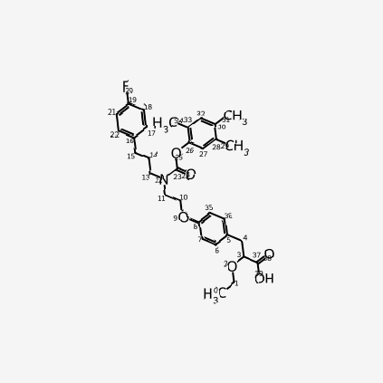 CCOC(Cc1ccc(OCCN(CCCc2ccc(F)cc2)C(=O)Oc2cc(C)c(C)cc2C)cc1)C(=O)O